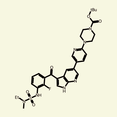 CCN(C)S(=O)(=O)Nc1cccc(C(=O)c2c[nH]c3ncc(-c4ccc(N5CCN(C(=O)OC(C)(C)C)CC5)nc4)cc23)c1F